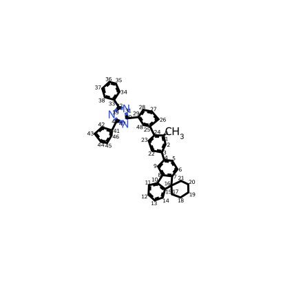 Cc1cc(-c2ccc3c(c2)-c2ccccc2C32CCCCC2)ccc1-c1cccc(-c2nc(-c3ccccc3)nc(-c3ccccc3)n2)c1